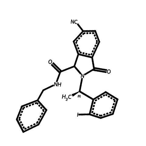 C[C@H](c1ccccc1I)N1C(=O)c2ccc(C#N)cc2C1C(=O)NCc1ccccc1